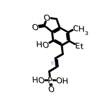 CCc1c(C)c2c(c(O)c1C/C=C/CP(=O)(O)O)C(=O)OC2